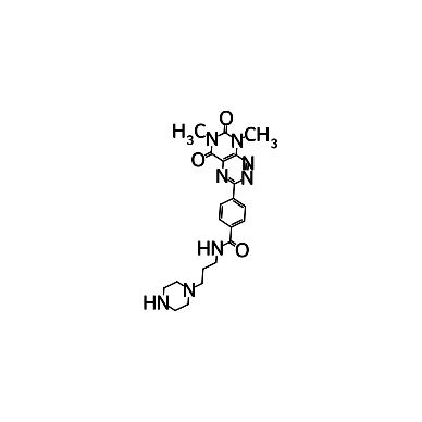 Cn1c(=O)c2nc(-c3ccc(C(=O)NCCCN4CCNCC4)cc3)nnc2n(C)c1=O